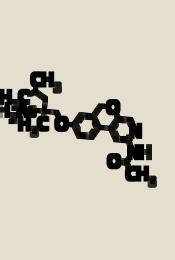 CC(=O)Nc1cc2c(cn1)OCc1cc(OCC(C)([AsH2])CC(C)C)ccc1-2